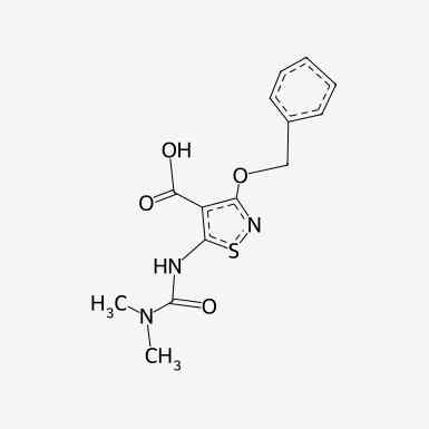 CN(C)C(=O)Nc1snc(OCc2ccccc2)c1C(=O)O